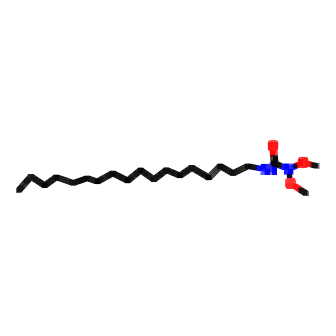 CCCCCCCCCCCCCCCCCCNC(=O)N(OC)OC